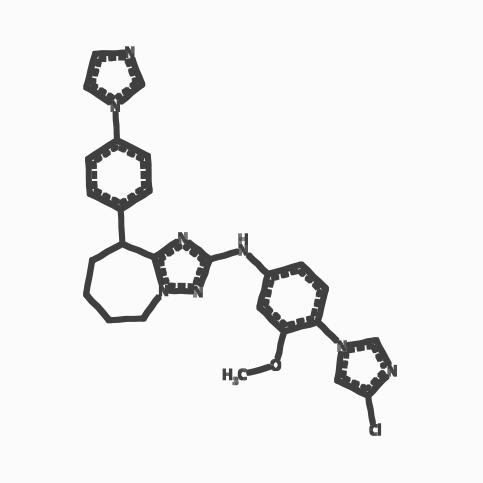 COc1cc(Nc2nc3n(n2)CCCCC3c2ccc(-n3ccnc3)cc2)ccc1-n1cnc(Cl)c1